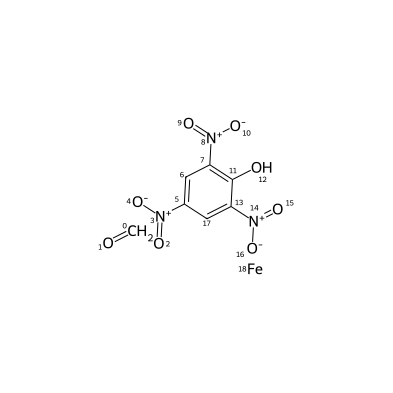 C=O.O=[N+]([O-])c1cc([N+](=O)[O-])c(O)c([N+](=O)[O-])c1.[Fe]